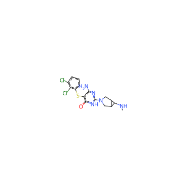 CNC1C2CN(c3nc(N)c(Sc4cccc(Cl)c4Cl)c(=O)[nH]3)CC21